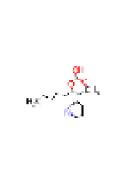 CCCCCC(CC)OC(=O)O.c1ccncc1